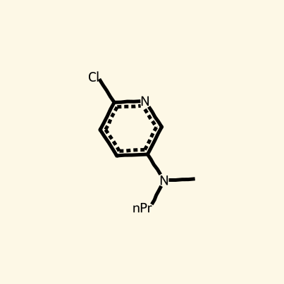 CCCN(C)c1ccc(Cl)nc1